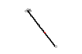 C[Si](Cl)(Cl)CCCCCCCCCCCCCCCCCCCCCCCCCCCCCCCCCCCCCCCCl